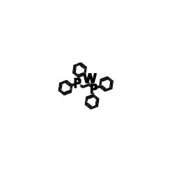 [W][CH](CP(c1ccccc1)c1ccccc1)P(c1ccccc1)c1ccccc1